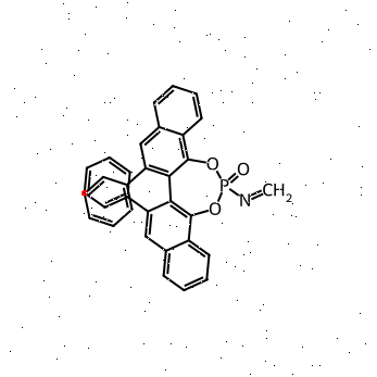 C=NP1(=O)Oc2c(c(-c3ccccc3)cc3ccccc23)-c2c(-c3ccccc3)cc3ccccc3c2O1